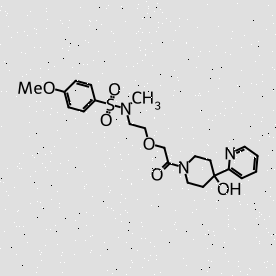 COc1ccc(S(=O)(=O)N(C)CCOCC(=O)N2CCC(O)(c3ccccn3)CC2)cc1